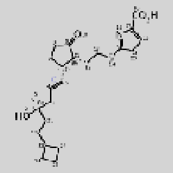 C[C@](O)(C/C=C/[C@@H]1CCC(=O)[C@@H]1CCSc1nc(C(=O)O)cs1)CCC1CCC1